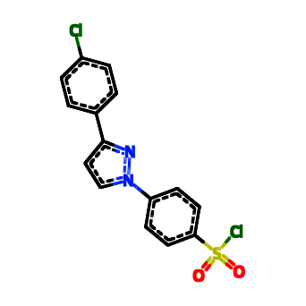 O=S(=O)(Cl)c1ccc(-n2ccc(-c3ccc(Cl)cc3)n2)cc1